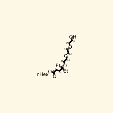 CCCCCCOC(=O)CCC(CC)(CC)OCCOCCOCCO